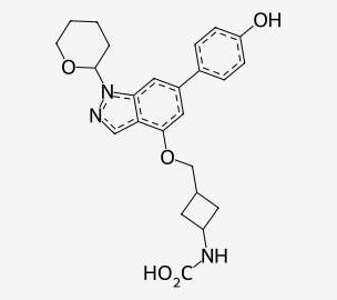 O=C(O)NC1CC(COc2cc(-c3ccc(O)cc3)cc3c2cnn3C2CCCCO2)C1